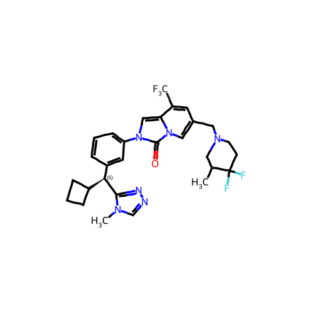 CC1CN(Cc2cc(C(F)(F)F)c3cn(-c4cccc([C@@H](c5nncn5C)C5CCC5)c4)c(=O)n3c2)CCC1(F)F